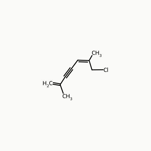 C=C(C)C#CC=C(C)CCl